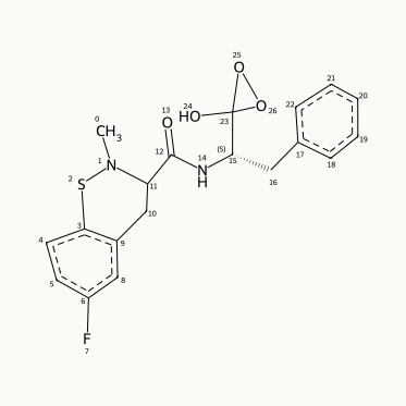 CN1Sc2ccc(F)cc2CC1C(=O)N[C@@H](Cc1ccccc1)C1(O)OO1